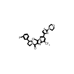 O=C(c1nc2c(C(F)(F)F)cc(-c3csc(N4CCOCC4)n3)cn2c1Cl)N1CCC(c2cccc(F)c2)C1